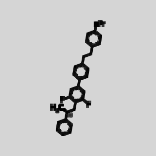 CCCc1ccc(CCc2ccc(-c3cc(F)c(C[C@H](C)c4ccccc4)c(F)c3)cc2)cc1